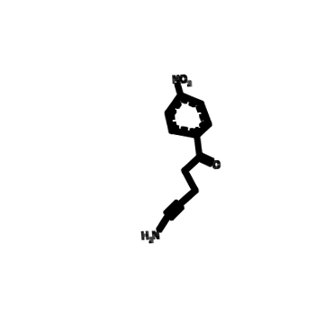 NC#CCCC(=O)c1ccc([N+](=O)[O-])cc1